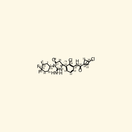 C[C@H]1C[C@@H](N2C(=N)N[C@](C)(c3cccc(NC(=O)C45CC(Cl)(C4)C5)c3Cl)CC2=O)CCC1(F)F